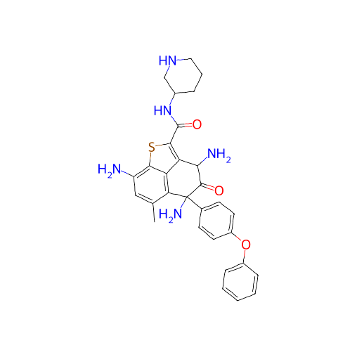 Cc1cc(N)c2sc(C(=O)NC3CCCNC3)c3c2c1C(N)(c1ccc(Oc2ccccc2)cc1)C(=O)C3N